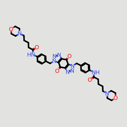 O=C(CCCCN1CCOCC1)Nc1ccc(Cn2nnc3c2C(=O)c2nnn(Cc4ccc(NC(=O)CCCCN5CCOCC5)cc4)c2C3=O)cc1